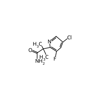 CC(C)(C(N)=O)c1ncc(Cl)cc1F